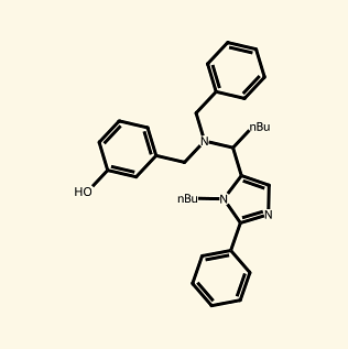 CCCCC(c1cnc(-c2ccccc2)n1CCCC)N(Cc1ccccc1)Cc1cccc(O)c1